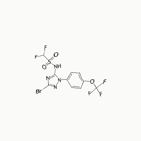 O=S(=O)(Nc1nc(Br)nn1-c1ccc(OC(F)(F)F)cc1)C(F)F